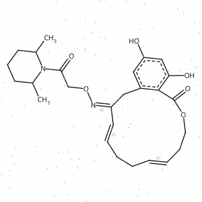 CC1CCCC(C)N1C(=O)CO/N=C1/C=C/CC/C=C/CCOC(=O)c2c(O)cc(O)cc2C1